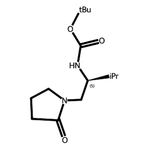 CC(C)[C@@H](CN1CCCC1=O)NC(=O)OC(C)(C)C